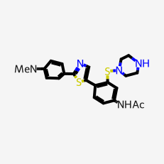 CNc1ccc(-c2ncc(-c3ccc(NC(C)=O)cc3SN3CCNCC3)s2)cc1